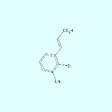 CCc1c(C#N)cccc1C=CC(=O)O